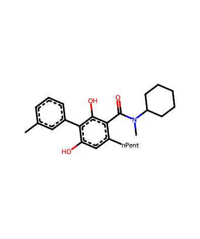 CCCCCc1cc(O)c(-c2cccc(C)c2)c(O)c1C(=O)N(C)C1CCCCC1